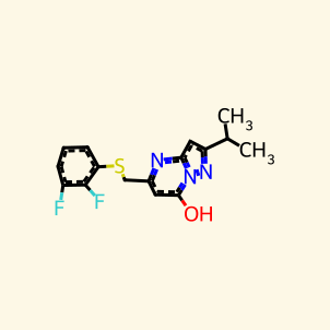 CC(C)c1cc2nc(CSc3cccc(F)c3F)cc(O)n2n1